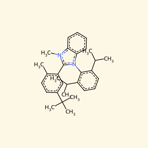 Cc1ccc(C(C)(C)C)cc1-c1n(-c2c(C(C)C)cccc2C(C)C)c2ccccc2[n+]1C